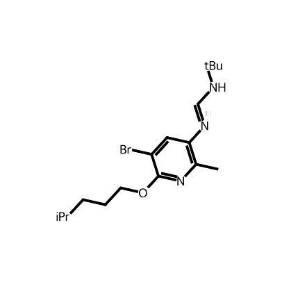 Cc1nc(OCCCC(C)C)c(Br)cc1/N=C/NC(C)(C)C